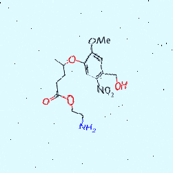 COc1cc(CO)c([N+](=O)[O-])cc1OC(C)CCC(=O)OCCN